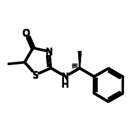 CC1SC(N[C@@H](C)c2ccccc2)=NC1=O